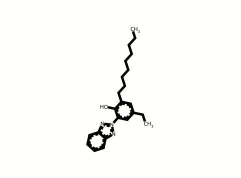 CCCCCCCCCc1cc(CC)cc(-n2nc3ccccc3n2)c1O